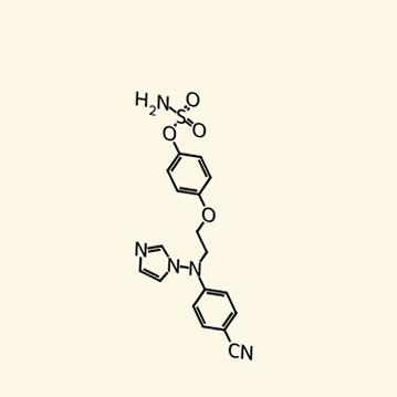 N#Cc1ccc(N(CCOc2ccc(OS(N)(=O)=O)cc2)n2ccnc2)cc1